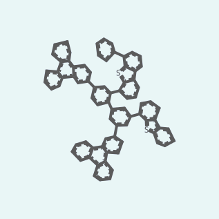 c1ccc(-c2cccc3c2sc2c(-c4cc(-c5ccc6c7ccccc7c7ccccc7c6c5)ccc4-c4cc(-c5ccc6c7ccccc7c7ccccc7c6c5)cc(-c5cccc6c5sc5ccccc56)c4)cccc23)cc1